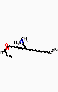 CCCCC=C=CCCCCCCCCCCCCC(CCCCCCCCC(=O)OCC(CCC(C)C)C(C)C)CCCN(C)C